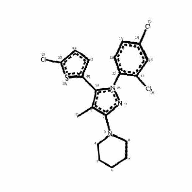 Cc1c(N2CCCCC2)nn(-c2ccc(Cl)cc2Cl)c1-c1ccc(Cl)s1